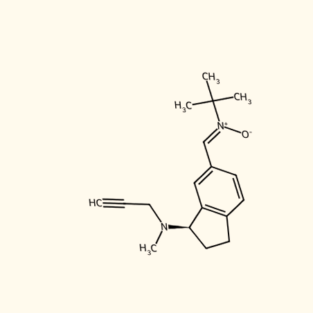 C#CCN(C)[C@@H]1CCc2ccc(/C=[N+](\[O-])C(C)(C)C)cc21